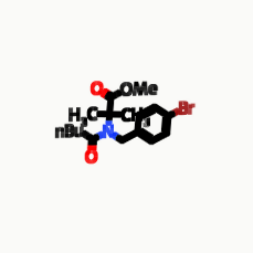 CCCCC(=O)N(Cc1ccc(Br)cc1)C(C)(C)C(=O)OC